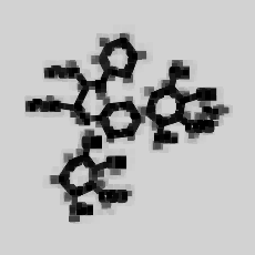 CCCCCC(=Nc1ccccc1)C(CCCCC)=Nc1ccccc1.CCCCc1ccc(O)c(O)c1C(=O)[O-].CCCCc1ccc(O)c(O)c1C(=O)[O-].[Pd+2]